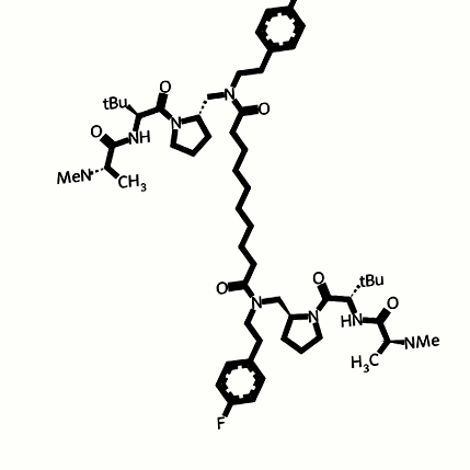 CN[C@@H](C)C(=O)N[C@H](C(=O)N1CCC[C@H]1CN(CCc1ccc(F)cc1)C(=O)CCCCCCCCC(=O)N(CCc1ccc(F)cc1)C[C@@H]1CCCN1C(=O)[C@@H](NC(=O)[C@H](C)NC)C(C)(C)C)C(C)(C)C